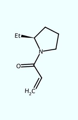 C=CC(=O)N1CCC[C@@H]1CC